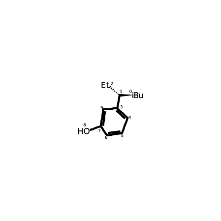 CC[C@H](C)[C@@H](CC)c1cccc(O)c1